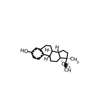 C#C[C@]1(C)CC[C@H]2[C@@H]3CCc4cc(O)ccc4[C@H]3CC[C@@]21C